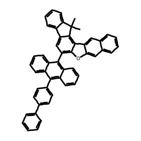 CC1(C)c2ccccc2-c2cc(-c3c4ccccc4c(-c4ccc(-c5ccccc5)cc4)c4ccccc34)c3oc4cc5ccccc5cc4c3c21